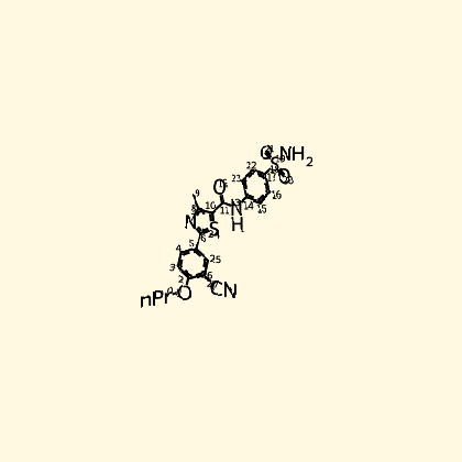 CCCOc1ccc(-c2nc(C)c(C(=O)Nc3ccc(S(N)(=O)=O)cc3)s2)cc1C#N